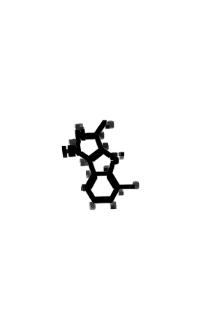 Cc1cccc2c1sc1c(C)n[nH]c12